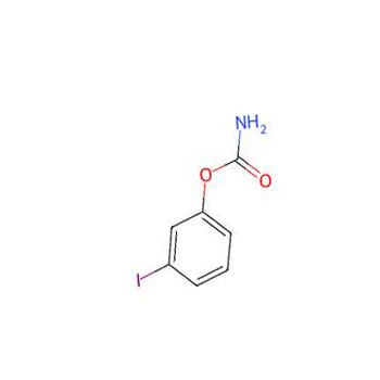 NC(=O)Oc1cccc(I)c1